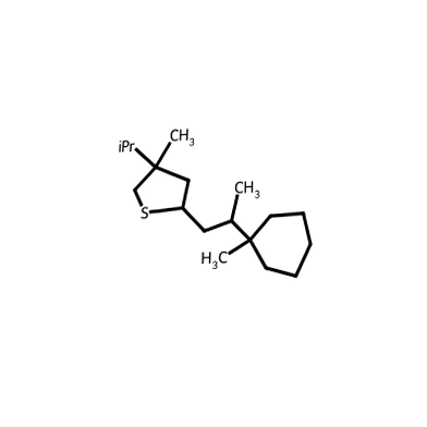 CC(C)C1(C)CSC(CC(C)C2(C)CCCCC2)C1